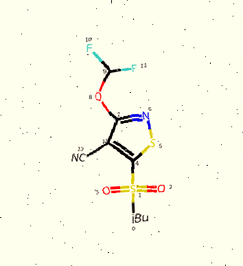 CCC(C)S(=O)(=O)c1snc(OC(F)F)c1C#N